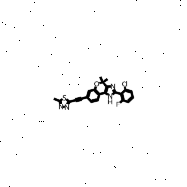 Cc1nnc(C#Cc2ccc3c(c2)OC(C)(C)c2nc(-c4c(F)cccc4Cl)[nH]c2-3)s1